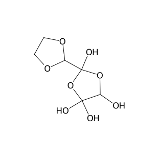 OC1OC(O)(C2OCCO2)OC1(O)O